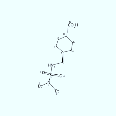 CCN(CC)S(=O)(=O)NC[C@H]1CC[C@H](C(=O)O)CC1